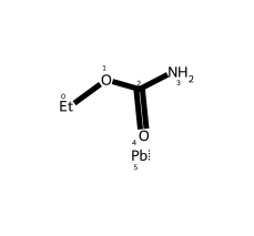 CCOC(N)=O.[Pb]